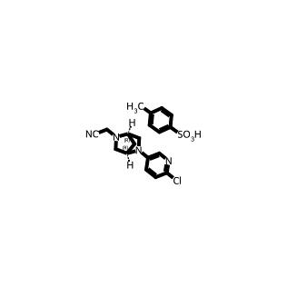 Cc1ccc(S(=O)(=O)O)cc1.N#CCN1C[C@H]2C[C@@H]1CN2c1ccc(Cl)nc1